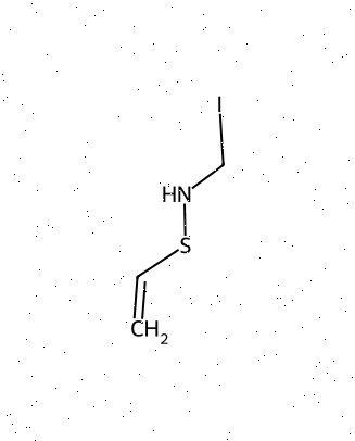 C=CSNCI